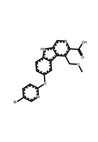 COCc1c(C(=O)O)ncc2[nH]c3ccc(Oc4ccc(Br)cn4)cc3c12